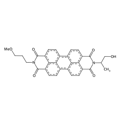 COCCCN1C(=O)c2ccc3c4ccc5c6c(ccc(c7ccc(c2c37)C1=O)c64)C(=O)N(C(C)CO)C5=O